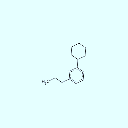 CCCc1[c]c(C2CCCCC2)ccc1